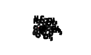 Cc1cc2c3c(c1)N1c4ccccc4C4(c5ccccc5-c5ccccc54)c4cccc(c41)B3N(c1ccc3c(c1)C(C)(C)CCC3(C)C)c1ccc3c(c1-2)-c1ccccc1C3(C)C